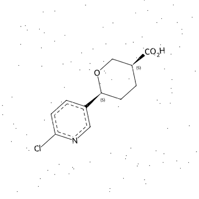 O=C(O)[C@H]1CC[C@@H](c2ccc(Cl)nc2)OC1